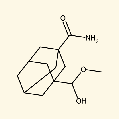 COC(O)C12CC3CC(CC(C(N)=O)(C3)C1)C2